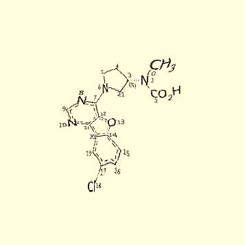 CN(C(=O)O)[C@H]1CCN(c2ncnc3c2oc2ccc(Cl)cc23)C1